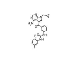 Cc1ccc(F)c(NC(=O)Nc2cccc(C(=O)c3cn(CC4CC4)c4ncnc(N)c34)c2)c1